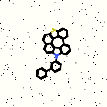 c1ccc(-c2cccc(-n3c4cccc5c4c4c6c(ccc7sc8cccc-5c8c76)ccc43)c2)cc1